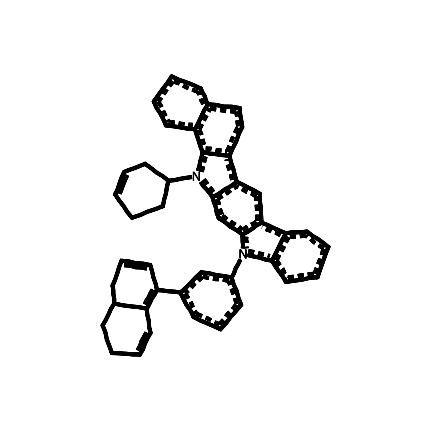 C1=CC2=C(c3cccc(-n4c5ccccc5c5cc6c7ccc8ccccc8c7n(C7CC=CCC7)c6cc54)c3)C=CCC2CC1